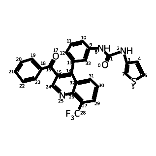 O=C(Nc1ccsc1)Nc1cccc(-c2c(C(=O)c3ccccc3)cnc3c(C(F)(F)F)cccc23)c1